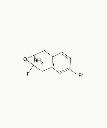 BC12Cc3ccc(C(C)C)cc3CC1(I)O2